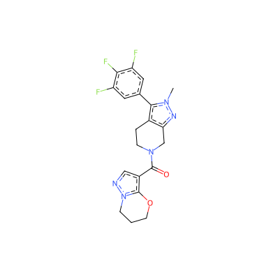 Cn1nc2c(c1-c1cc(F)c(F)c(F)c1)CCN(C(=O)c1cnn3c1OCCC3)C2